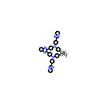 Cc1ccc(N(c2ccc(-c3cn4ccccc4n3)cc2)c2ccc(-c3nc4ccccc4nc3-c3ccc(N(c4ccc(C)cc4)c4ccc(-c5cn6ccccc6n5)cc4)cc3)cc2)cc1